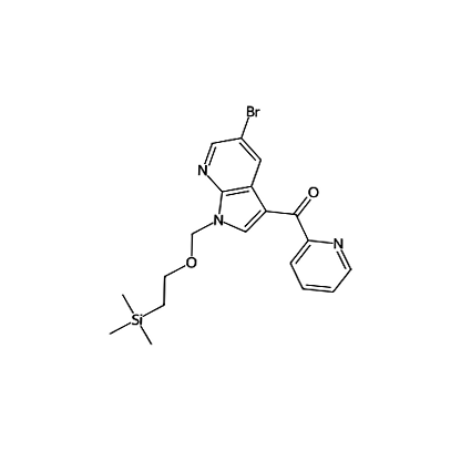 C[Si](C)(C)CCOCn1cc(C(=O)c2ccccn2)c2cc(Br)cnc21